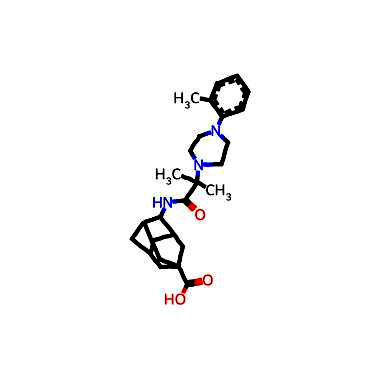 Cc1ccccc1N1CCN(C(C)(C)C(=O)NC2C3CC4CC2CC(C(=O)O)(C4)C3)CC1